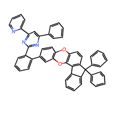 c1ccc(-c2cc(-c3ccccn3)nc(-c3ccccc3-c3ccc4c(c3)Oc3c(ccc5c3-c3ccccc3C5(c3ccccc3)c3ccccc3)O4)n2)cc1